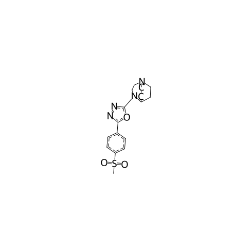 CS(=O)(=O)c1ccc(-c2nnc(N3CCN4CCC3CC4)o2)cc1